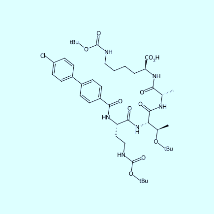 C[C@H](NC(=O)[C@@H](NC(=O)[C@H](CCNC(=O)OC(C)(C)C)NC(=O)c1ccc(-c2ccc(Cl)cc2)cc1)[C@@H](C)OC(C)(C)C)C(=O)N[C@@H](CCCCNC(=O)OC(C)(C)C)C(=O)O